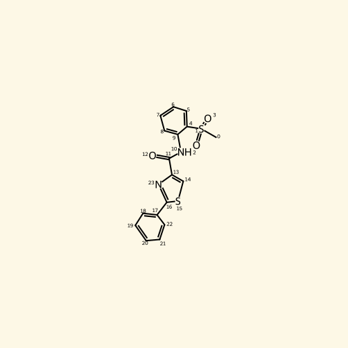 CS(=O)(=O)c1ccccc1NC(=O)c1csc(-c2ccccc2)n1